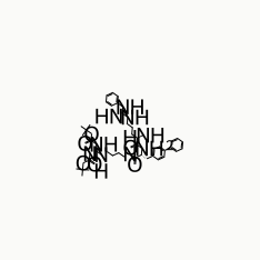 CC(C)(C)OC(=O)/N=C(\NCCCCNC(=O)[C@@H](Cc1ccc(-c2ccccc2)cc1)NC(=O)[C@H](N)CCCNC(=N)Nc1ccccc1)NC(=O)OC(C)(C)C